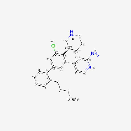 COCCCc1ccccc1-c1ccc([C@H]2CNCC[C@@H]2c2cccnc2N)c(Cl)c1